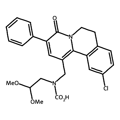 COC(CN(Cc1cc(-c2ccccc2)c(=O)n2c1-c1cc(Cl)ccc1CC2)C(=O)O)OC